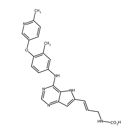 Cc1ccc(Oc2ccc(Nc3ncnc4cc(/C=C/CNC(=O)O)[nH]c34)cc2C)cn1